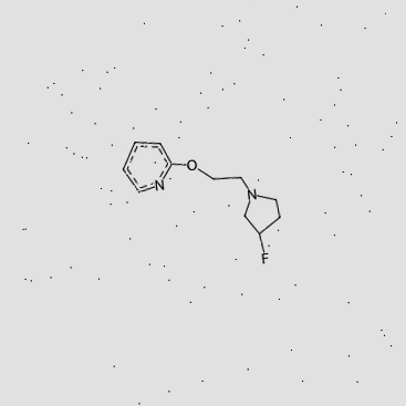 FC1CCN(CCOc2ccccn2)C1